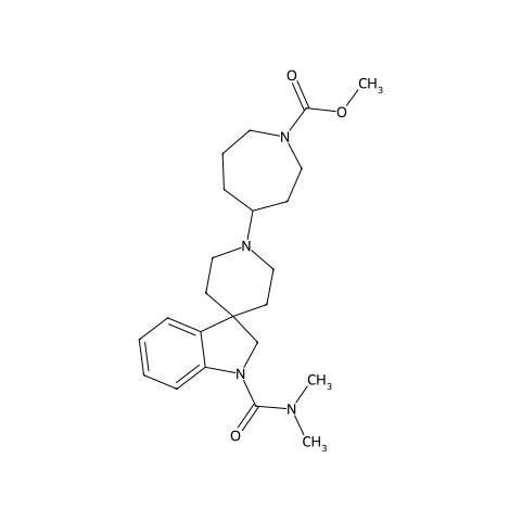 COC(=O)N1CCCC(N2CCC3(CC2)CN(C(=O)N(C)C)c2ccccc23)CC1